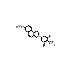 CCCc1ccc2c(ccc3cc(-c4cc(F)c(C(F)(F)F)c(F)c4)ccc32)c1